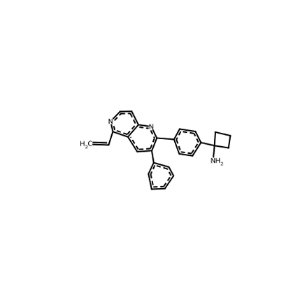 C=Cc1nccc2nc(-c3ccc(C4(N)CCC4)cc3)c(-c3ccccc3)cc12